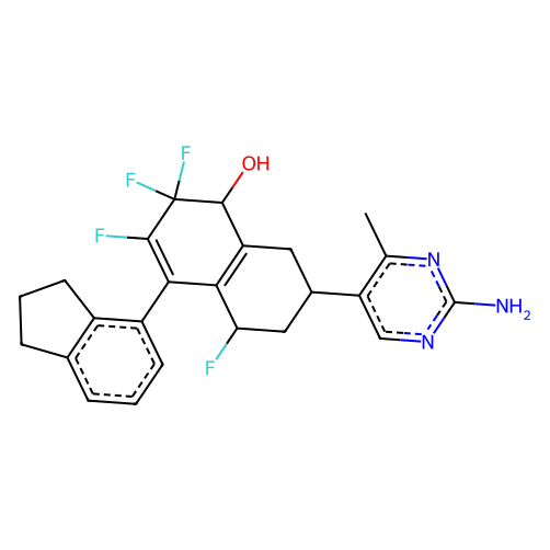 Cc1nc(N)ncc1C1CC2=C(C(c3cccc4c3CCC4)=C(F)C(F)(F)C2O)C(F)C1